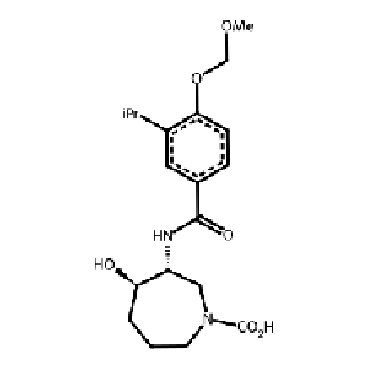 COCOc1ccc(C(=O)N[C@@H]2CN(C(=O)O)CCC[C@H]2O)cc1C(C)C